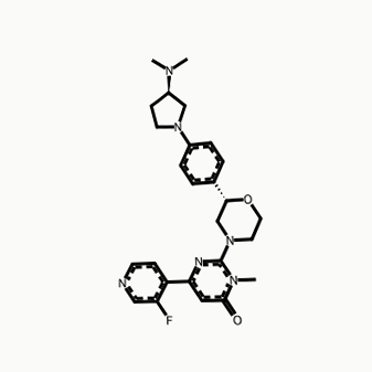 CN(C)[C@@H]1CCN(c2ccc([C@H]3CN(c4nc(-c5ccncc5F)cc(=O)n4C)CCO3)cc2)C1